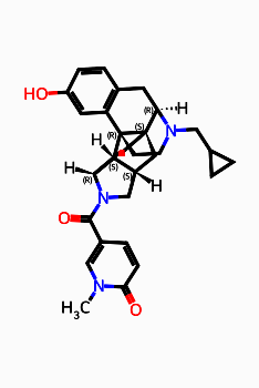 Cn1cc(C(=O)N2C[C@H]3C[C@@]45CC[C@@H]2[C@@H]3[C@@]42CCN(CC3CC3)[C@@H]5Cc3ccc(O)cc32)ccc1=O